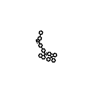 c1ccc(-c2ccc3c(ccn3-c3ccc(-c4ccc(N(c5ccc6c(c5)C(c5ccccc5)(c5ccccc5)c5ccccc5-6)c5cccc6ccccc56)cc4)cc3)c2)cc1